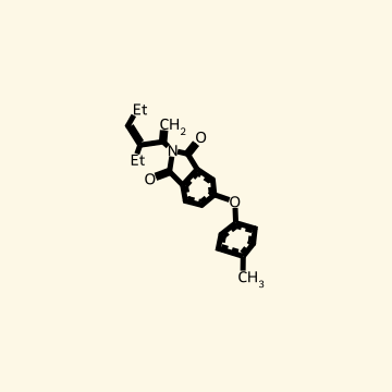 C=C(/C(=C\CC)CC)N1C(=O)c2ccc(Oc3ccc(C)cc3)cc2C1=O